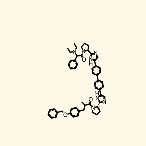 CCN(CC)C(C(=O)N1CCCC1c1ncc(-c2ccc(-c3ccc(-c4cnc([C@@H]5CCCN5C(=O)[C](C)Cc5ccc(OCc6ccccc6)cc5)[nH]4)cc3)cc2)[nH]1)c1ccccc1